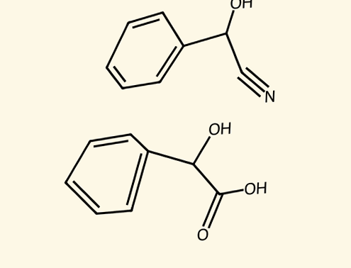 N#CC(O)c1ccccc1.O=C(O)C(O)c1ccccc1